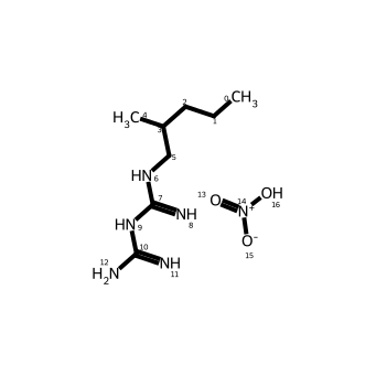 CCCC(C)CNC(=N)NC(=N)N.O=[N+]([O-])O